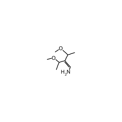 COC(C)C(=CN)C(C)OC